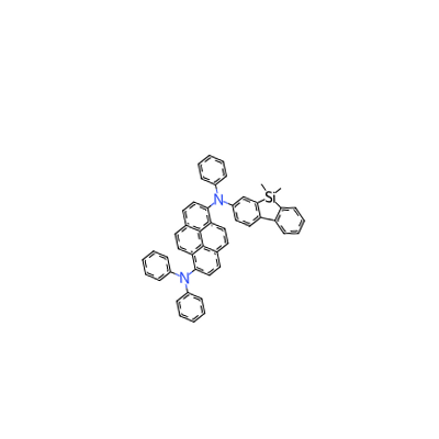 C[Si]1(C)c2ccccc2-c2ccc(N(c3ccccc3)c3ccc4ccc5c(N(c6ccccc6)c6ccccc6)ccc6ccc3c4c65)cc21